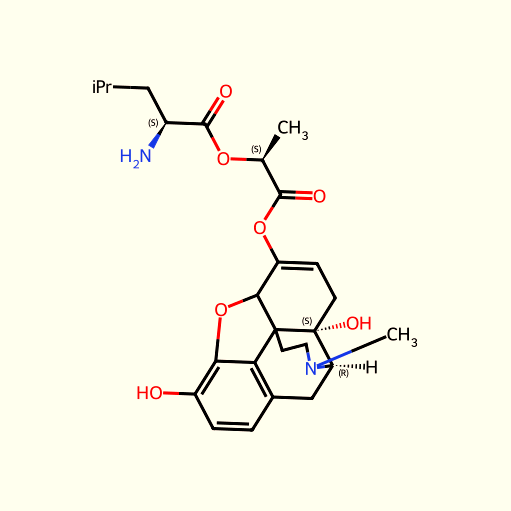 CC(C)C[C@H](N)C(=O)O[C@@H](C)C(=O)OC1=CC[C@@]2(O)[C@H]3Cc4ccc(O)c5c4C2(CCN3C)C1O5